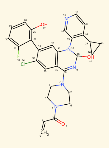 C=CC(=O)N1CCN(C2=NC(O)N(c3cnccc3C3CC3)c3cc(-c4c(O)cccc4F)c(Cl)cc32)CC1